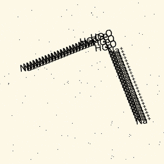 O=PO.O=PO.O=PO.O=PO.[Na+].[Na+].[Na+].[Na+].[Na+].[Na+].[Na+].[Na+].[Na+].[Na+].[Na+].[Na+].[Na+].[Na+].[Na+].[Na+].[Na+].[Na+].[Na+].[Na+].[Na+].[Na+].[Na+].[Na+].[Na+].[Na+].[Na+].[Na+].[Na+].[Na+].[Na+].[Na+].[Na+].[Na+].[Na+].[Na+].[Na+].[Na+].[Na+].[Na+].[Na+].[Na+].[Na+].[Na+].[Na+].[Na+]